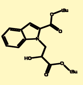 CC(C)(C)OC(=O)c1cc2ccccc2n1CC(O)C(=O)OC(C)(C)C